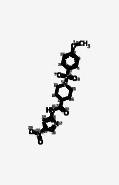 COc1ccc(S(=O)(=O)N2CCC(C(=O)Nc3ncc([N+](=O)[O-])s3)CC2)cc1